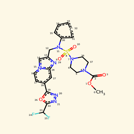 COC(=O)N1CCN(S(=O)(=O)N(Cc2cn3ccc(-c4nnc(C(F)F)o4)cc3n2)c2ccccc2)CC1